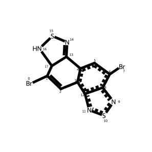 BrC1=Cc2c(cc(Br)c3nsnc23)C2=NSNC12